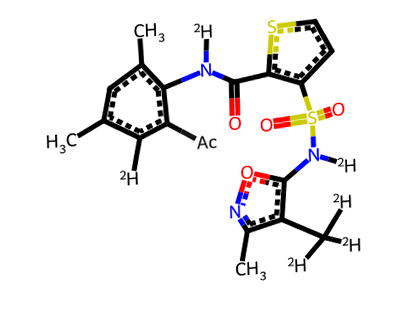 [2H]c1c(C)cc(C)c(N([2H])C(=O)c2sccc2S(=O)(=O)N([2H])c2onc(C)c2C([2H])([2H])[2H])c1C(C)=O